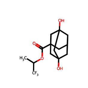 CC(OC(=O)C12CC3CC(O)(CC(O)(C3)C1)C2)C(F)(F)F